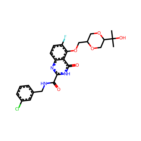 CC(C)(O)C1COC(COc2c(F)ccc3nc(C(=O)NCc4cccc(Cl)c4)[nH]c(=O)c23)CO1